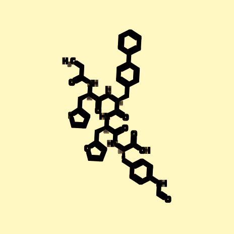 CCC(=O)N[C@H](Cc1cccs1)C(=O)N[C@@H](Cc1ccc(-c2ccccc2)cc1)C(=O)N[C@H](Cc1ccco1)C(=O)N[C@@H](Cc1ccc(NC=O)cc1)C(=O)O